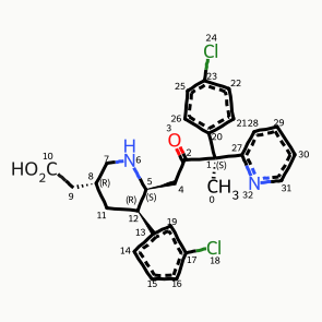 C[C@](C(=O)C[C@@H]1NC[C@@H](CC(=O)O)C[C@@H]1c1cccc(Cl)c1)(c1ccc(Cl)cc1)c1ccccn1